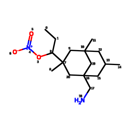 CCC(O[N+](=O)[O-])C1(C)CC2(C)CC(C)CC(CN)(C2)C1